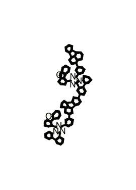 c1ccc(-c2ccccc2-c2nc(-c3cccc(-c4cc5c6c(cccc6c4)-c4cc(-c6ccc(-c7ccccc7)c(-c7nc(-c8cccc(-c9ccc%10c%11c(cccc9%11)-c9ccccc9-%10)c8)nc(-c8cccc9oc%10ccccc%10c89)n7)c6)ccc4-5)c3)nc(-c3cccc4oc5ccccc5c34)n2)cc1